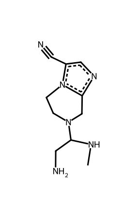 CNC(CN)N1CCn2c(C#N)cnc2C1